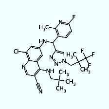 Cc1nc(F)ccc1C(Nc1cc(Cl)c2ncc(C#N)c(NCC(C)(C)C)c2c1)c1cn(CC(C)(C)C(F)(F)F)nn1